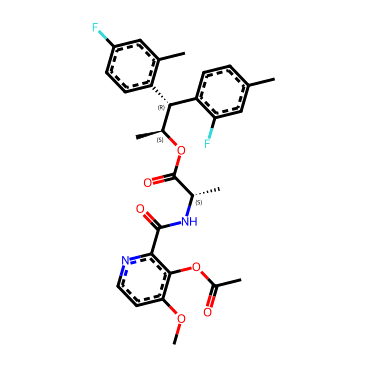 COc1ccnc(C(=O)N[C@@H](C)C(=O)O[C@@H](C)[C@H](c2ccc(F)cc2C)c2ccc(C)cc2F)c1OC(C)=O